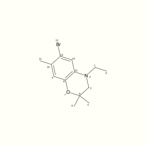 CCN1CC(C)(C)Oc2cc(C)c(Br)cc21